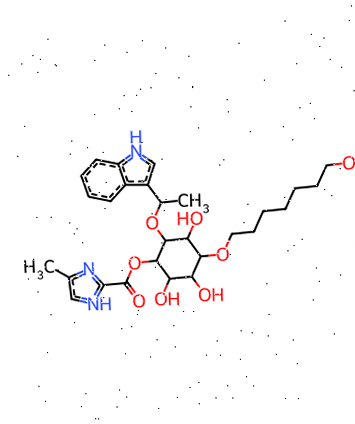 Cc1c[nH]c(C(=O)OC2C(O)C(O)C(OCCCCCCCO)C(O)C2OC(C)c2c[nH]c3ccccc23)n1